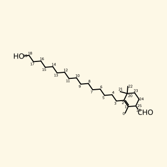 CC1=C(CCCCCCCCCCCCCCCCO)C(C)(C)CCC1C=O